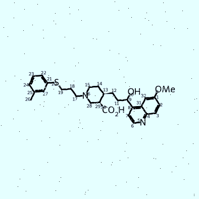 COc1ccc2nccc(C(O)CC[C@@H]3CCN(CCCSc4cccc(C)c4)C[C@@H]3C(=O)O)c2c1